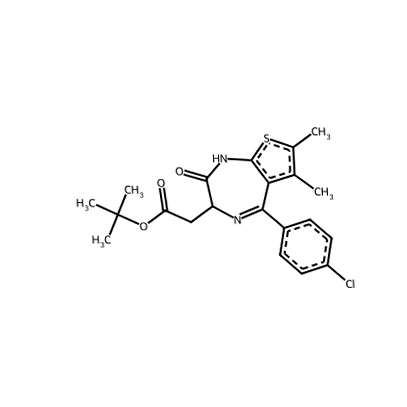 Cc1sc2c(c1C)C(c1ccc(Cl)cc1)=NC(CC(=O)OC(C)(C)C)C(=O)N2